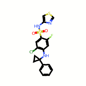 O=S(=O)(Nc1cscn1)c1cc(Cl)c(NC2(c3ccccc3)CC2)cc1F